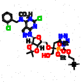 CCOP(=O)(OCC)[C@@](CO)(Cc1nnnn1COCC[Si](C)(C)C)OC[C@H]1O[C@@H](n2ncc3c(N(Cc4ccccc4Cl)C(=O)O)nc(Cl)nc32)[C@@H]2OC(C)(C)O[C@@H]21